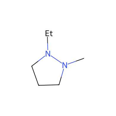 CCN1CCCN1C